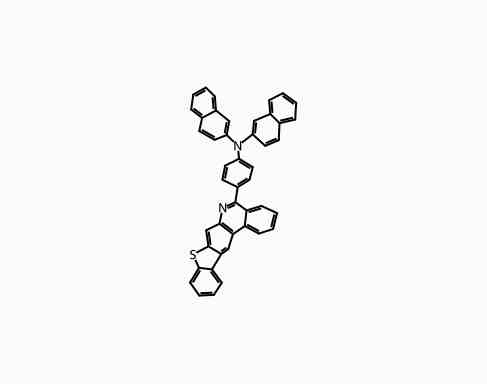 c1ccc2cc(N(c3ccc(-c4nc5cc6sc7ccccc7c6cc5c5ccccc45)cc3)c3ccc4ccccc4c3)ccc2c1